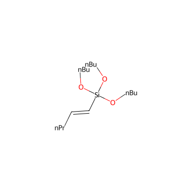 CCC/C=C/[Si](OCCCC)(OCCCC)OCCCC